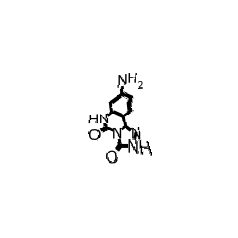 Nc1ccc2c(c1)[nH]c(=O)n1c(=O)[nH]nc21